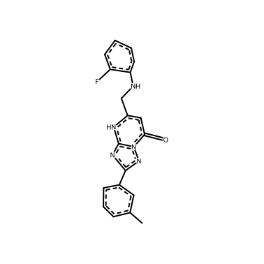 Cc1cccc(-c2nc3[nH]c(CNc4ccccc4F)cc(=O)n3n2)c1